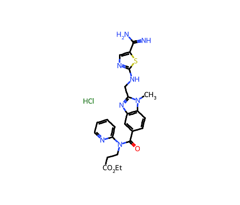 CCOC(=O)CCN(C(=O)c1ccc2c(c1)nc(CNc1ncc(C(=N)N)s1)n2C)c1ccccn1.Cl